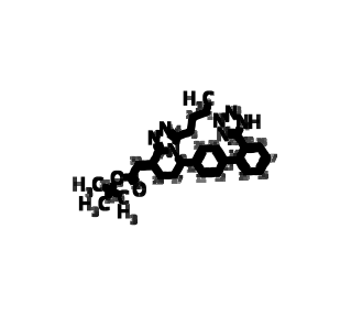 CCCCc1nnc2n1C(c1ccc(-c3ccccc3-c3nnn[nH]3)cc1)CCC2=CC(=O)OC(C)(C)C